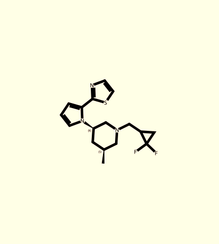 C[C@H]1C[C@@H](n2cccc2-c2nccs2)CN(CC2CC2(F)F)C1